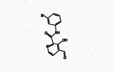 O=Cc1ccnc(C(=O)Nc2cccc(Br)c2)c1O